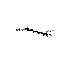 CCCCCCCC=CCCCCCCC(CCC)CCCCC